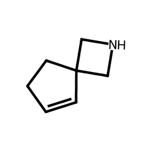 C1=CC2(CC1)CNC2